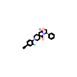 C#Cc1ccc(N2CCC3(CC2)C[C@@H]2OC[C@@H](c4ccccc4)N2C3=O)c(F)c1